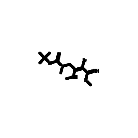 CN/C(CN(C)C(=O)OC(C)(C)C)=C(/Br)C(=N)OC